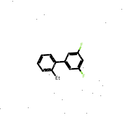 CCc1ccccc1-c1cc(F)cc(F)c1